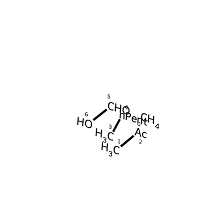 C.CC(C)=O.CCCCCC.O=CO